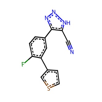 N#Cc1[nH]nnc1-c1ccc(F)c(-c2ccsc2)c1